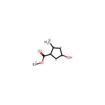 CCOC(=O)C1CC(O)CC1C